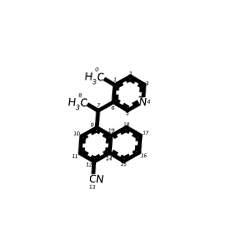 Cc1ccncc1C(C)c1ccc(C#N)c2ccccc12